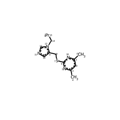 Cc1cc(C)nc(SCc2cncn2CC(C)C)n1